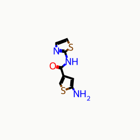 Nc1cc(C(=O)Nc2nccs2)cs1